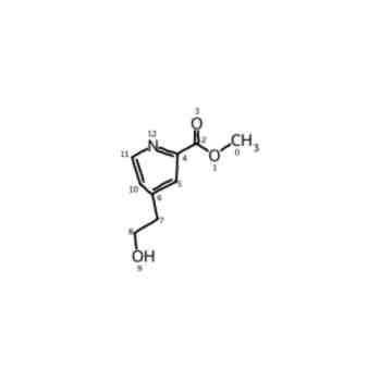 COC(=O)c1cc(CCO)ccn1